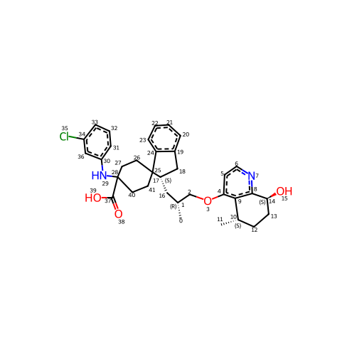 C[C@@H](COc1ccnc2c1[C@@H](C)CC[C@@H]2O)C[C@H]1Cc2ccccc2C12CCC(Nc1cccc(Cl)c1)(C(=O)O)CC2